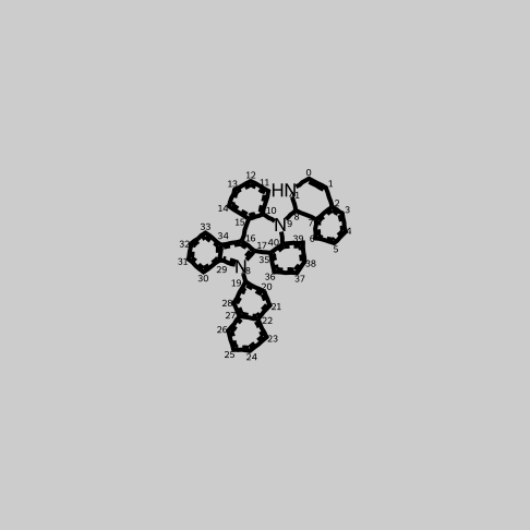 C1=Cc2ccccc2C(N2c3ccccc3-c3c(n(-c4ccc5ccccc5c4)c4ccccc34)-c3ccccc32)N1